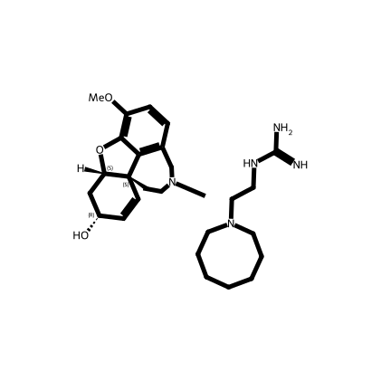 COc1ccc2c3c1O[C@H]1C[C@@H](O)C=C[C@@]31CCN(C)C2.N=C(N)NCCN1CCCCCCC1